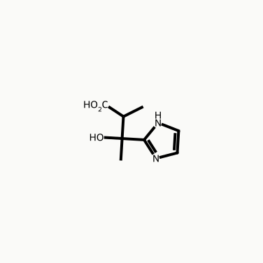 CC(C(=O)O)C(C)(O)c1ncc[nH]1